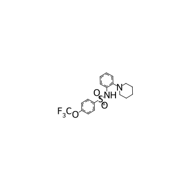 O=S(=O)(Nc1ccccc1N1CCCCC1)c1ccc(OC(F)(F)F)cc1